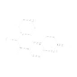 CCC(C(=O)c1ccc2c(c1)CCC(=O)N2)N1CCNCC1